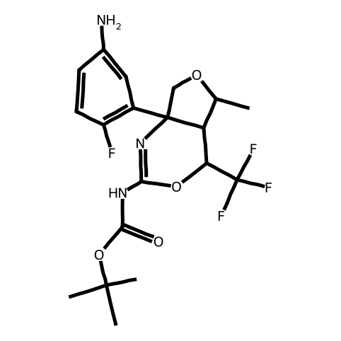 CC1OCC2(c3cc(N)ccc3F)N=C(NC(=O)OC(C)(C)C)OC(C(F)(F)F)C12